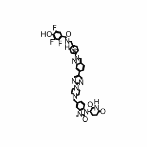 Cn1c(=O)n([C@@H]2CCC(=O)NC2=O)c2ccc(CN3CCN(c4ncc(-c5ccc6cn(C78CCC(CNC(=O)c9cc(F)c(O)c(F)c9F)(CC7)CC8)nc6c5)cn4)CC3)cc21